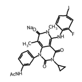 CC(=O)Nc1cccc(-n2c(=O)n(C3CC3)c(=O)c3c(Nc4ccc(I)cc4F)n(C)c(=O)c(C)c32)c1.[Na]